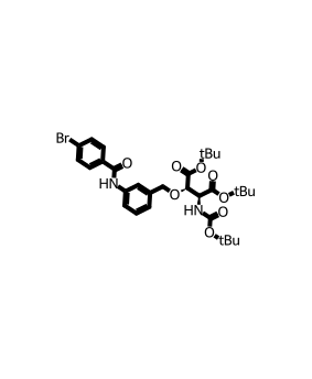 CC(C)(C)OC(=O)N[C@H](C(=O)OC(C)(C)C)[C@H](OCc1cccc(NC(=O)c2ccc(Br)cc2)c1)C(=O)OC(C)(C)C